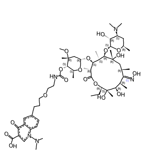 CC[C@H]1OC(=O)[C@H](C)[C@@H](O[C@H]2C[C@@](C)(OC)[C@@H](OC(=O)NCCOCCCc3ccc4c(c3)c(=O)c(C(=O)O)cn4N(C)C)[C@H](C)O2)[C@H](C)[C@@H](O[C@@H]2O[C@H](C)C[C@H](N(C)C)[C@H]2O)[C@](C)(O)C[C@@H](C)/C(=N\O)[C@@H](C)[C@@H](O)[C@]1(C)O